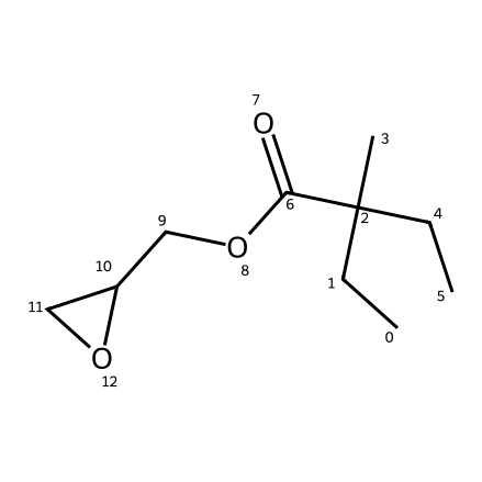 CCC(C)(CC)C(=O)OCC1CO1